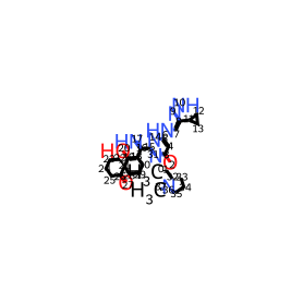 C[C@H](Oc1cc(N/C=C(\N=N)C2CC2)nc(C(=N)C2=C(O)[C@]3(CCCCC3=O)CCC2)n1)[C@@H]1CCCN1C